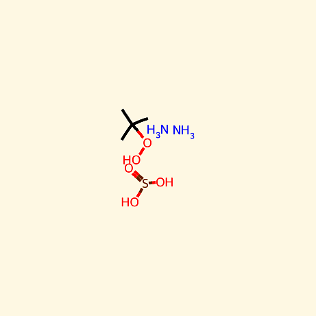 CC(C)(C)OO.N.N.O=S(O)O